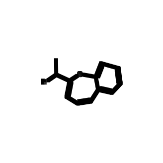 CC(Br)C1=CC=Cc2ccccc2O1